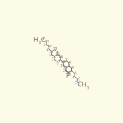 C/C=C/CCc1cc2ccc(C3CCC4CC(CCCCC)CCC4C3)cc2cc1F